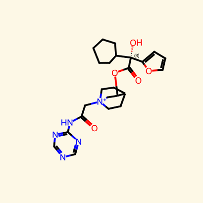 O=C(C[N+]12CCC(CC1)C(OC(=O)[C@](O)(c1ccco1)C1CCCCC1)C2)Nc1ncncn1